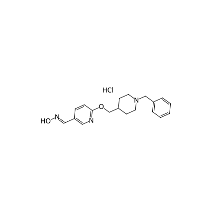 Cl.ON=Cc1ccc(OCC2CCN(Cc3ccccc3)CC2)nc1